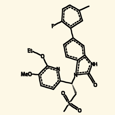 CCOc1nc([C@@H](CS(C)(=O)=O)n2c(=O)[nH]c3cc(-c4cc(C)ccc4F)ccc32)ccc1OC